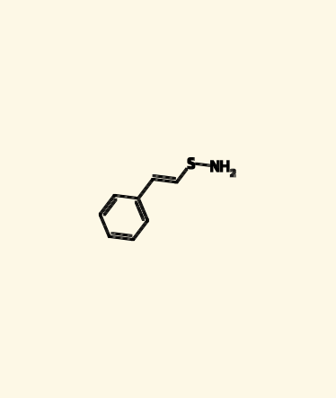 NS/C=C/c1ccccc1